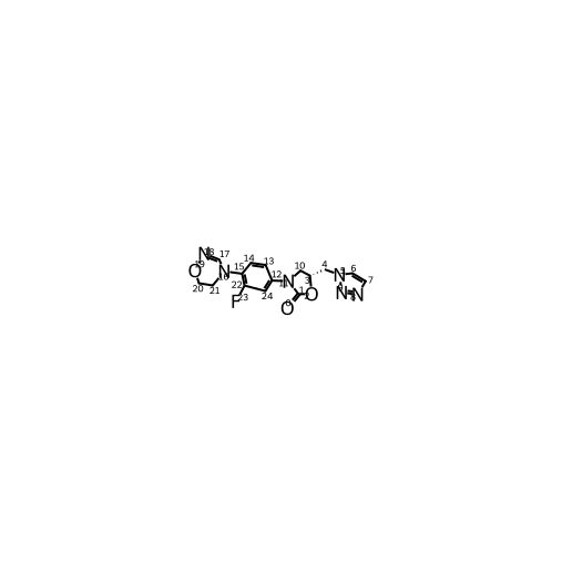 O=C1O[C@@H](Cn2ccnn2)CN1c1ccc(N2C=NOCC2)c(F)c1